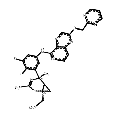 COC[C@]12CC1[C@@](C)(c1cc(Nc3nccc4nc(OCc5ncccn5)cnc34)cc(F)c1F)N=C(N)S2